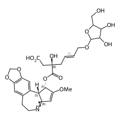 COC1=C[C@]23CCCN2CCc2cc4c(cc2[C@@H]3[C@@H]1OC(=O)[C@@](O)(C/C=C/COC1OC(CO)C(O)C1O)CC(=O)O)OCO4